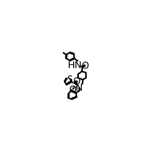 Cc1ccc(CNC(=O)C2CCC(CN(Cc3ccccc3)S(=O)(=O)c3cccs3)CC2)cc1